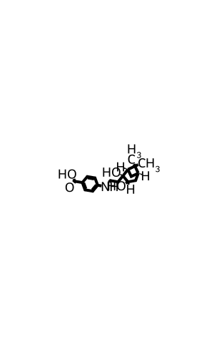 CC1(C)[C@@H]2C[C@H]1[C@](O)(CCNc1ccc(C(=O)O)cc1)[C@@H](O)C2